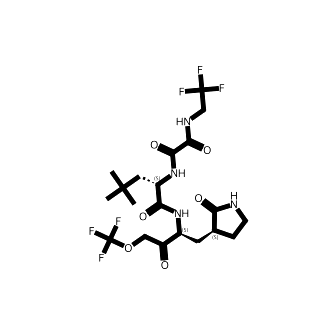 CC(C)(C)C[C@H](NC(=O)C(=O)NCC(F)(F)F)C(=O)N[C@@H](C[C@@H]1CCNC1=O)C(=O)COC(F)(F)F